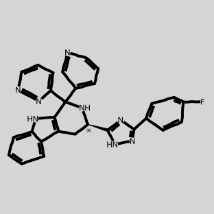 Fc1ccc(-c2n[nH]c([C@H]3Cc4c([nH]c5ccccc45)C(c4cccnc4)(c4cccnn4)N3)n2)cc1